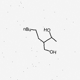 CCCCCCC(CO)C(C)O